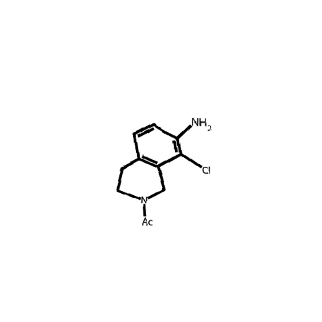 CC(=O)N1CCc2ccc(N)c(Cl)c2C1